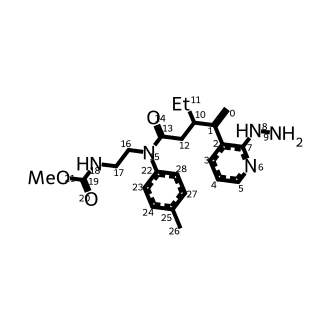 C=C(c1cccnc1NN)C(CC)CC(=O)N(CCNC(=O)OC)c1ccc(C)cc1